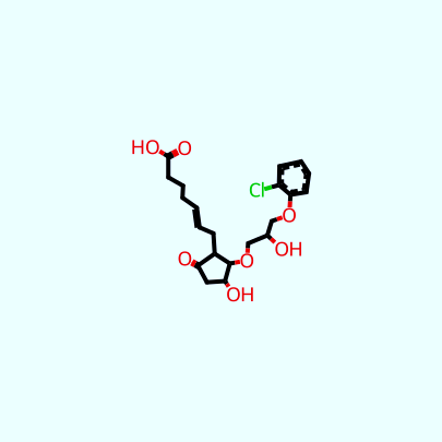 O=C(O)CCCC=CCC1C(=O)CC(O)C1OCC(O)COc1ccccc1Cl